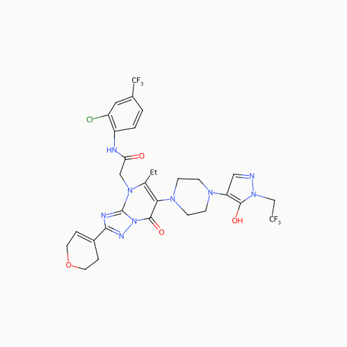 CCc1c(N2CCN(c3cnn(CC(F)(F)F)c3O)CC2)c(=O)n2nc(C3=CCOCC3)nc2n1CC(=O)Nc1ccc(C(F)(F)F)cc1Cl